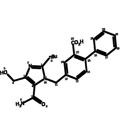 CCCCc1nc(CO)c(C(N)=O)n1Cc1ccc(-c2ccccc2)c(C(=O)O)c1